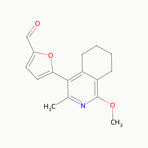 COc1nc(C)c(-c2ccc(C=O)o2)c2c1CCCC2